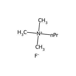 CCC[N+](C)(C)C.[F-]